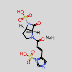 O=C(C=Cc1cncn1S(=O)(=O)O)N1CC[C@@H]2[C@H]1C(=O)N2S(=O)(=O)O.[NaH]